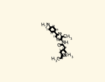 C\C=C(/C=C\C(Br)=C/C)CC(=O)Nc1ncc(-c2ccc(N)cc2)nc1C